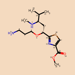 CN[C@H](C[C@@H](OCCCN)c1nc(C(=O)OC)cs1)C(C)C